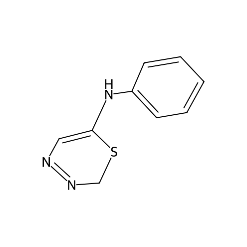 C1=C(Nc2ccccc2)SCN=N1